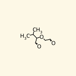 CC(C)C(C=O)OCC=O